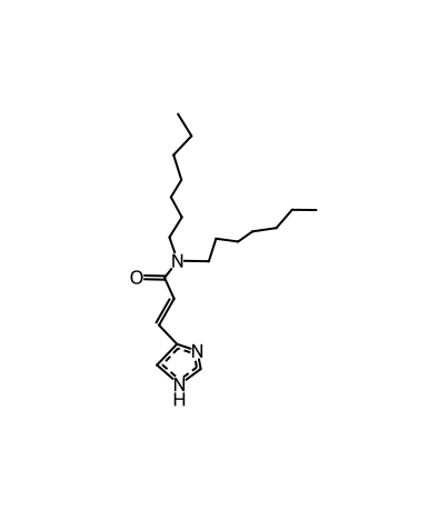 CCCCCCCN(CCCCCCC)C(=O)C=Cc1c[nH]cn1